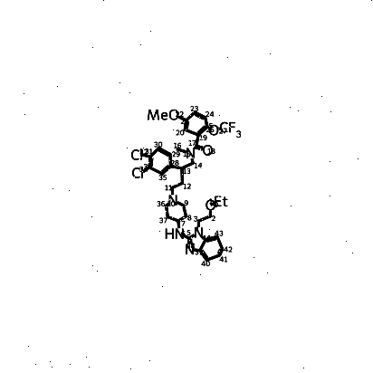 CCOCCn1c(NC2CCN(CCC(CN(C)C(=O)c3cc(OC)ccc3OC(F)(F)F)c3ccc(Cl)c(Cl)c3)CC2)nc2ccccc21